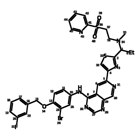 CCC(c1nc(-c2cc3c(Nc4ccc(OCc5cccc(F)c5)c(Br)c4)ncnc3cn2)cs1)N(C)CCS(=O)(=O)c1ccccn1